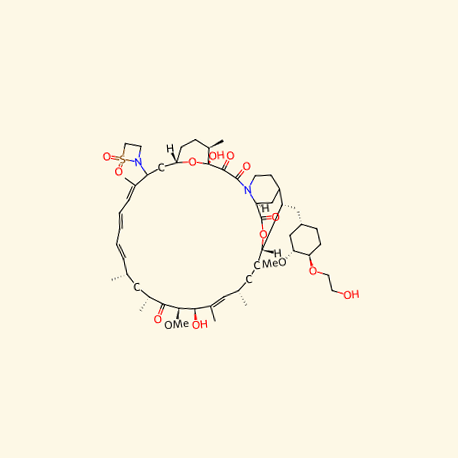 CO[C@@H]1C[C@H](C[C@H]2C3CCN4C(=O)C(=O)[C@]5(O)O[C@@H](CC[C@H]5C)CC(N5CCS5(=O)=O)/C(C)=C/C=C/C=C/[C@@H](C)C[C@@H](C)C(=O)[C@H](OC)[C@H](O)/C(C)=C/[C@@H](C)CC[C@@H]2OC(=O)[C@@H]4C3)CC[C@H]1OCCO